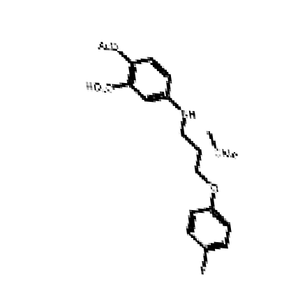 CC(=O)Oc1ccc(NCCCOc2ccc(F)cc2)cc1C(=O)O.COC